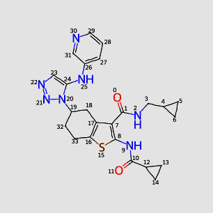 O=C(NCC1CC1)c1c(NC(=O)C2CC2)sc2c1CC(n1nncc1Nc1cccnc1)CC2